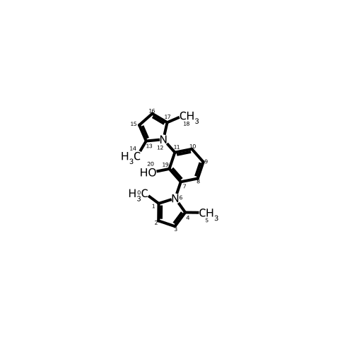 Cc1ccc(C)n1-c1cccc(-n2c(C)ccc2C)c1O